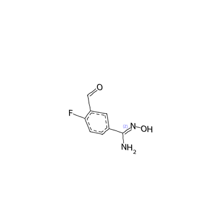 N/C(=N\O)c1ccc(F)c(C=O)c1